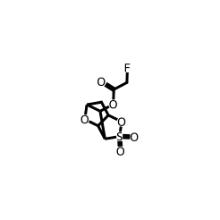 O=C(CF)OC1C2CC3OS(=O)(=O)C1C3O2